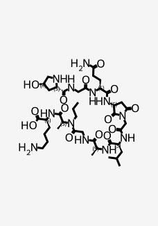 CCCN(C(=O)CNC(=O)[C@H](C)NC(=O)[C@H](CC(C)C)NC(=O)CN1C(=O)C[C@H](NC(=O)[C@H](CCC(N)=O)NC(=O)CNC(=O)[C@@H]2C[C@@H](O)CN2)C1=O)[C@@H](C)C(=O)N[C@@H](CCCCN)C(=O)O